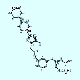 C=CCN(CC(=O)OCC)Cc1cccc(OCCc2nc(-c3ccc(N4CCOCC4)cc3)oc2C)c1